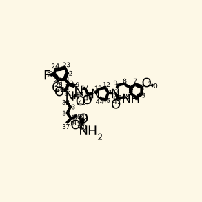 COc1ccc2c(c1)CCN(C1CCN(C(=O)Cn3cc(-c4cccc(F)c4Cl)c(=O)n(CCCC(C)(C)OC(N)=O)c3=O)CC1)C(=O)N2